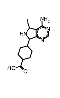 Nc1ncnc2c1C(I)NC2C1CCC(C(=O)O)CC1